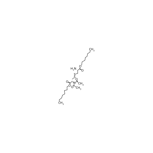 CCCCCCCCOC(=O)[C@@H](N)CSSC[C@@H](C(=O)OCCCCCCCC)N(C(C)=O)C(C)=O